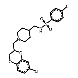 O=S(=O)(NCC1CCN(CC2COc3ccc(Cl)cc3O2)CC1)c1ccc(Cl)cc1